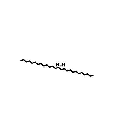 CCCCCCCC[CH]CCCCCCCCCCCCCCCCC.[NaH]